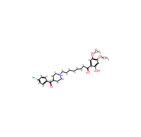 COc1cc(O)c(C(=O)CCCCCCCN2CCC(C(=O)c3ccc(F)cc3)CC2)cc1OC